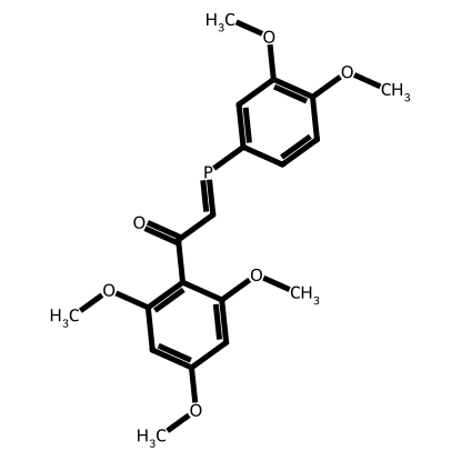 COc1cc(OC)c(C(=O)/C=P/c2ccc(OC)c(OC)c2)c(OC)c1